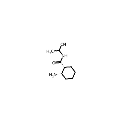 CC(C#N)NC(=O)[C@@H]1CCCC[C@@H]1N